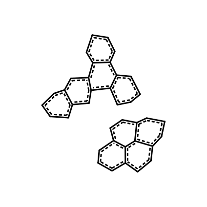 c1cc2ccc3cccc4ccc(c1)c2c34.c1ccc2cc3c4ccccc4c4ccccc4c3cc2c1